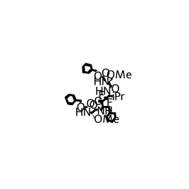 COC[C@H](NC(=O)OCc1ccccc1)C(=O)NC(CC1CCCCC1)C(=O)C(F)(F)C(NC(=O)[C@H](COC)NC(=O)OCc1ccccc1)C(C)C